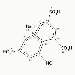 O=Nc1cc(S(=O)(=O)O)cc2cc(S(=O)(=O)O)cc(S(=O)(=O)O)c12.[NaH]